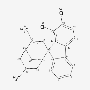 CC1=CC2(c3ccccc3-c3ccc(Cl)c(Cl)c32)C2CC(C)CC1C2